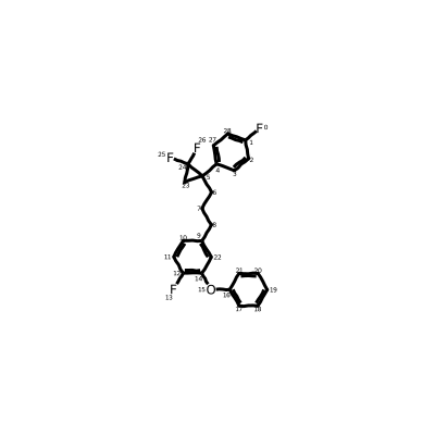 Fc1ccc(C2(CCCc3ccc(F)c(Oc4ccccc4)c3)CC2(F)F)cc1